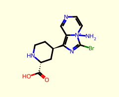 N[N+]12C=CN=CC1=C([C@@H]1CCN[C@@H](C(=O)O)C1)N=C2Br